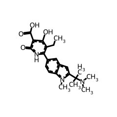 CCc1c(-c2ccc3c(c2)cc(C(C)(C)N(C)C)n3C)[nH]c(=O)c(C(=O)O)c1O